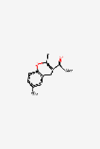 CCCCCCCCCC(=O)C1=C(C)Oc2ccc(C(C)(C)C)cc2C1